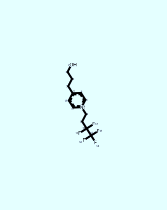 OCCCc1cc[n+](CCC(F)(F)C(F)(F)F)cc1